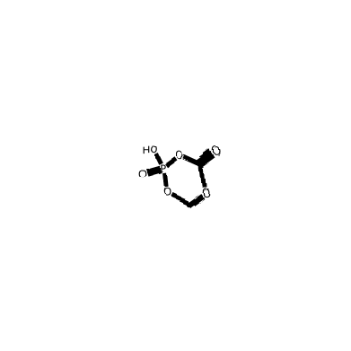 O=C1OCOP(=O)(O)O1